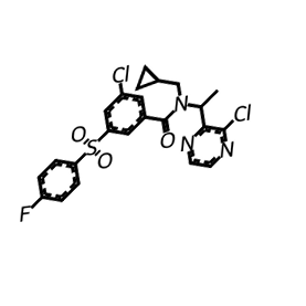 CC(c1nccnc1Cl)N(CC1CC1)C(=O)c1cc(Cl)cc(S(=O)(=O)c2ccc(F)cc2)c1